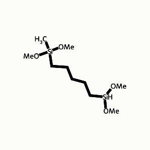 CO[SiH](CCCCC[Si](C)(OC)OC)OC